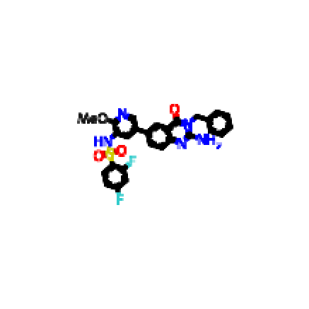 COc1ncc(-c2ccc3nc(N)n(Cc4ccccc4)c(=O)c3c2)cc1NS(=O)(=O)c1ccc(F)cc1F